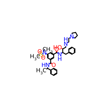 CC(NC(=O)c1cc(C(=O)NC(Cc2ccccc2)C(O)CNCCN2CCCC2)cc(N(C)S(C)(=O)=O)c1)c1ccccc1